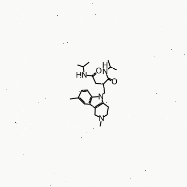 Cc1ccc2c(c1)c1c(n2CC(CC(=O)NC(C)C)C(=O)NC(C)C)CCN(C)C1